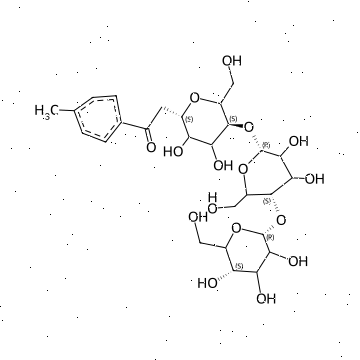 Cc1ccc(C(=O)C[C@@H]2OC(CO)[C@@H](O[C@H]3OC(CO)[C@@H](O[C@H]4OC(CO)[C@@H](O)C(O)C4O)C(O)C3O)C(O)C2O)cc1